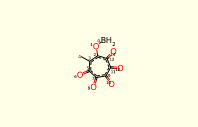 BOc1c(C)c(=O)c(=O)c(=O)c(=O)c1=O